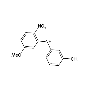 COc1ccc([N+](=O)[O-])c(Nc2cccc(C)c2)c1